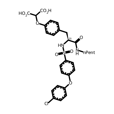 CCCCCNC(=O)[C@H](Cc1ccc(OC(C(=O)O)C(=O)O)cc1)NS(=O)(=O)c1ccc(Oc2ccc(Cl)cc2)cc1